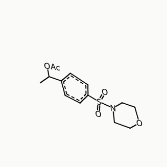 CC(=O)OC(C)c1ccc(S(=O)(=O)N2CCOCC2)cc1